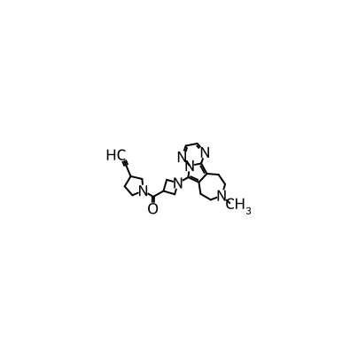 C#CC1CCN(C(=O)C2CN(c3c4c(c5nccnn35)CCN(C)CC4)C2)C1